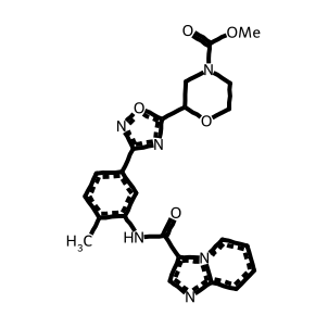 COC(=O)N1CCOC(c2nc(-c3ccc(C)c(NC(=O)c4cnc5ccccn45)c3)no2)C1